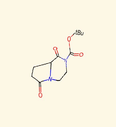 CC(C)(C)OC(=O)N1CCN2C(=O)CCC2C1=O